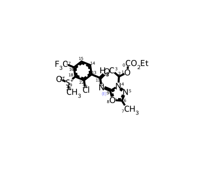 CCOC(=O)OC(C)n1nc(C)o/c1=N/C(=O)c1ccc(C(F)(F)F)c([S+](C)[O-])c1Cl